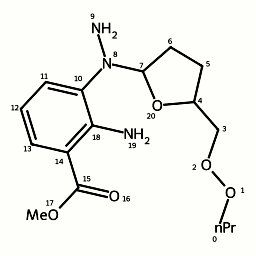 CCCOOCC1CCC(N(N)c2cccc(C(=O)OC)c2N)O1